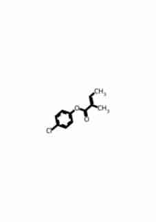 CC=C(C)C(=O)Oc1ccc(Cl)cc1